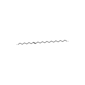 [CH2]CCCCCCC=CCCCCCCCCCCCCC[CH2]